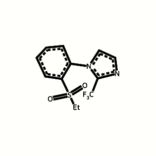 CCS(=O)(=O)c1ccccc1-n1ccnc1C(F)(F)F